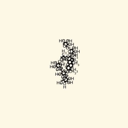 C/C(=C\CCC(C)(O[C@@H]1O[C@H](CO[C@H]2OC[C@@H](O)[C@H](O)[C@H]2O)[C@@H](O)[C@H](O)[C@H]1O)C1CCC2(C)C1C(O)CC1C3(C)CCC(O[C@@H]4O[C@H](CO[C@@H]5O[C@@H](C)[C@@H](O)[C@@H](O)[C@H]5O)[C@@H](O)[C@H](O)[C@H]4O[C@@H]4O[C@H](CO)[C@@H](O)[C@H](O)[C@H]4O)C(C)(C)C3CCC12C)CO